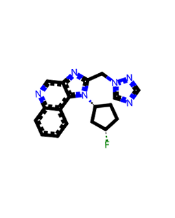 F[C@H]1CC[C@@H](n2c(Cn3cncn3)nc3cnc4ccccc4c32)C1